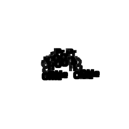 COc1cc2c(cc1OC)[C@H]1C[C@@H](OC(=O)C(=O)O[C@@H]3C[C@@H]4c5cc(OC)c(OC)cc5CCN4C[C@H]3CC(C)C)[C@H](CC(C)C)CN1CC2